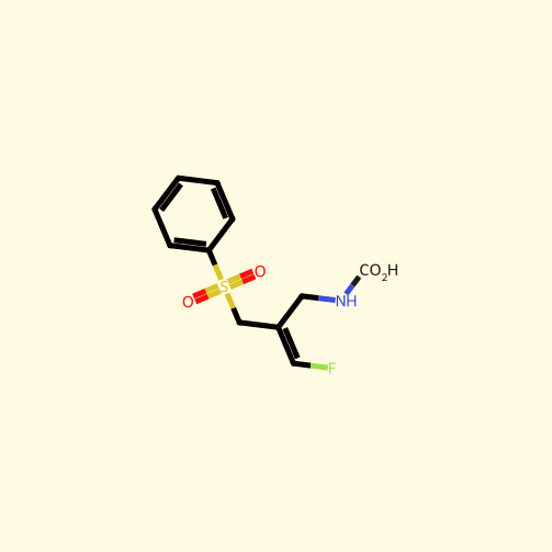 O=C(O)NC/C(=C\F)CS(=O)(=O)c1ccccc1